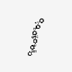 O=S(=O)(c1ccc(Oc2cccc(Nc3ccccc3)c2)cc1)c1ccc(Oc2cccc(Nc3ccccc3)c2)cc1